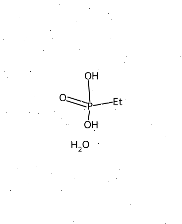 CCP(=O)(O)O.O